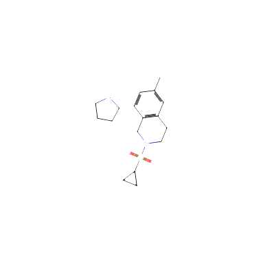 Cc1cc2c(c([C@@H]3CCCN3)c1)CN(S(=O)(=O)C1CC1)CC2